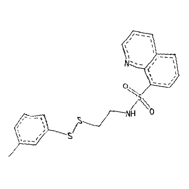 Cc1cccc(SSCCNS(=O)(=O)c2cccc3cccnc23)c1